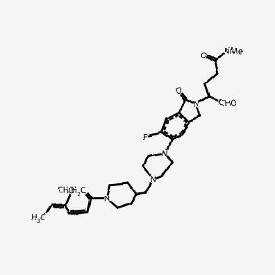 C=C(/C=C\C(C=O)=C/C)N1CCC(CN2CCN(c3cc4c(cc3F)C(=O)N(C(C=O)CCC(=O)NC)C4)CC2)CC1